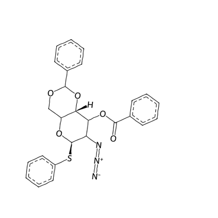 [N-]=[N+]=NC1C(OC(=O)c2ccccc2)[C@H]2OC(c3ccccc3)OCC2O[C@@H]1Sc1ccccc1